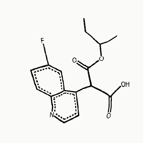 CCC(C)OC(=O)C(C(=O)O)c1ccnc2ccc(F)cc12